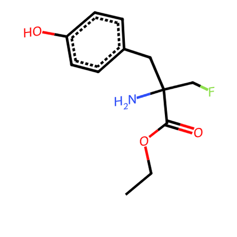 CCOC(=O)C(N)(CF)Cc1ccc(O)cc1